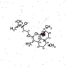 C[C@H]1C(OCCC(=O)N(C)C)O[C@@H]2O[C@]3(C)CCC4[C@H](C)CCC1[C@]42OO3